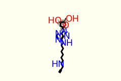 C#CCNCCCCCCNc1ncnc2c1ncn2[C@H]1C[C@H](O)[C@@H](CO)O1